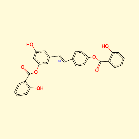 O=C(Oc1ccc(/C=C/c2cc(O)cc(OC(=O)c3ccccc3O)c2)cc1)c1ccccc1O